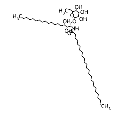 CCCCCCCCCCCCCCCCCCCCCCCCCC(=O)N[C@@H](CO[C@H]1OC(CC)[C@H](O)[C@H](O)C1O)[C@H](O)[C@H](O)CCCCCCCCCCCCCC